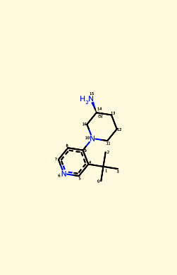 CC(C)(C)c1cnccc1N1CCC[C@H](N)C1